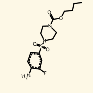 CCCCOC(=O)N1CCN(S(=O)(=O)c2ccc(N)c(F)c2)CC1